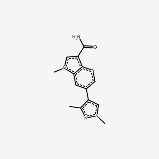 Cc1nn(C)cc1-c1cnc2c(C(N)=O)cn(C)c2c1